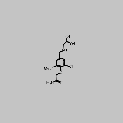 COc1cc(CNCC(C)O)cc(Cl)c1OCC(N)=O